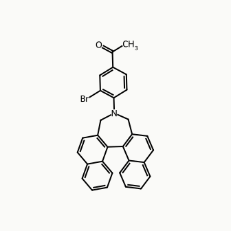 CC(=O)c1ccc(N2Cc3ccc4ccccc4c3-c3c(ccc4ccccc34)C2)c(Br)c1